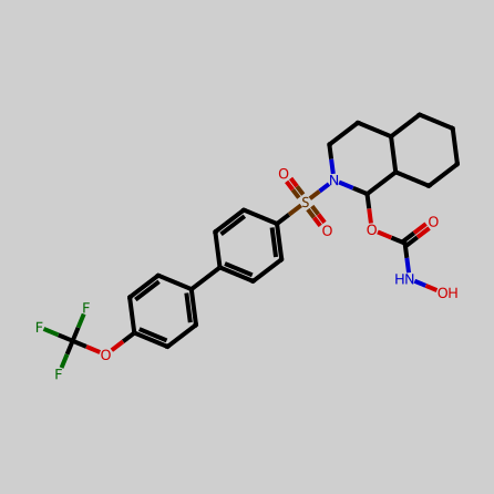 O=C(NO)OC1C2CCCCC2CCN1S(=O)(=O)c1ccc(-c2ccc(OC(F)(F)F)cc2)cc1